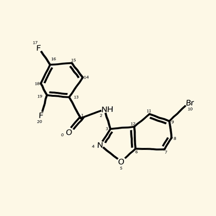 O=C(Nc1noc2ccc(Br)cc12)c1ccc(F)cc1F